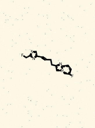 FCc1nc(C#CCCc2cn3cc(F)ccc3n2)cs1